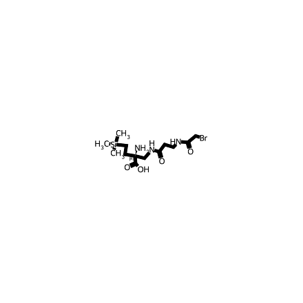 C[Si](C)(C)CC[C@@](N)(CNC(=O)CCNC(=O)CBr)C(=O)O